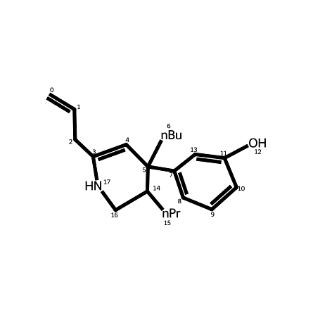 C=CCC1=CC(CCCC)(c2cccc(O)c2)C(CCC)CN1